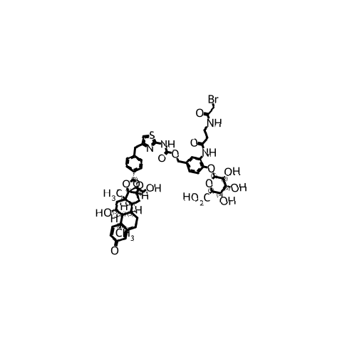 C[C@]12C=CC(=O)C=C1CC[C@@H]1[C@@H]2[C@@H](O)C[C@@]2(C)[C@H]1C[C@H]1O[C@@H](c3ccc(Cc4csc(NC(=O)OCc5ccc(O[C@@H]6O[C@H](C(=O)O)[C@@H](O)[C@H](O)[C@H]6O)c(NC(=O)CCNC(=O)CBr)c5)n4)cc3)O[C@]12C(=O)CO